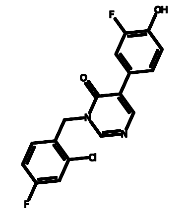 O=c1c(-c2ccc(O)c(F)c2)cncn1Cc1ccc(F)cc1Cl